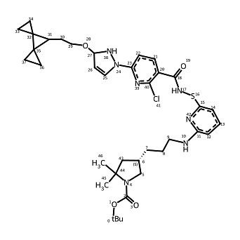 CC(C)(C)OC(=O)N1C[C@@H](CCCNc2cccc(SNC(=O)c3ccc(N4C=CC(OCCC5C6(CC6)C56CC6)N4)nc3Cl)n2)CC1(C)C